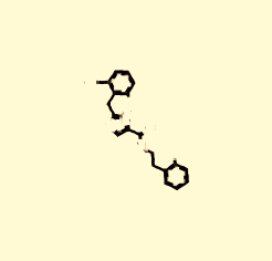 O=C(NCCc1ccccc1Cl)c1csc(Cc2c(Cl)cccc2Cl)n1